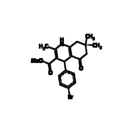 COC(=O)C1=C(C)NC2=C(C(=O)CC(C)(C)C2)C1c1ccc(Br)cc1